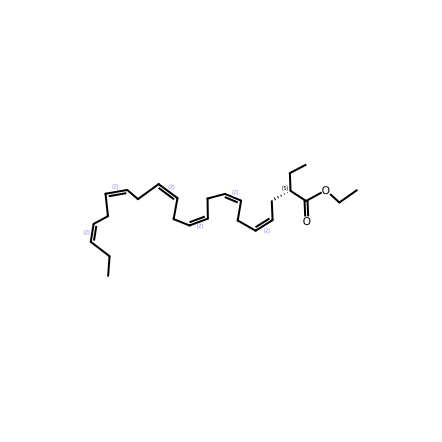 CC/C=C\C/C=C\C/C=C\C/C=C\C/C=C\C/C=C\C[C@H](CC)C(=O)OCC